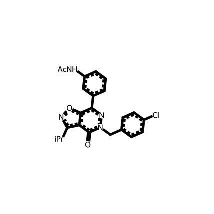 CC(=O)Nc1cccc(-c2nn(Cc3ccc(Cl)cc3)c(=O)c3c(C(C)C)noc23)c1